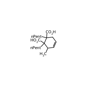 CCCCCC1(C(=O)O)CC=CC(C)C1(CCCCC)C(=O)O